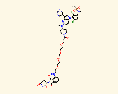 CCCS(=O)(=O)N(C)c1ccc(F)c(-n2cc(-c3cncnc3)c3nc(N(C)C4CCN(C(=O)CCOCCOCCOCCOCCNc5cccc6c5C(=O)N(C5CCC(=O)NC5=O)C6=O)CC4)ccc32)c1F